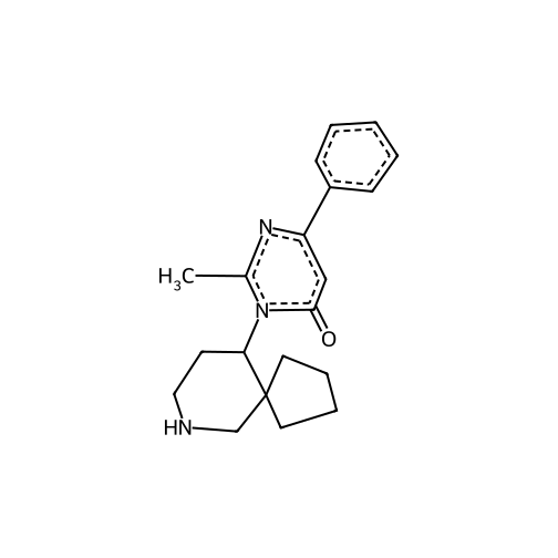 Cc1nc(-c2ccccc2)cc(=O)n1C1CCNCC12CCCC2